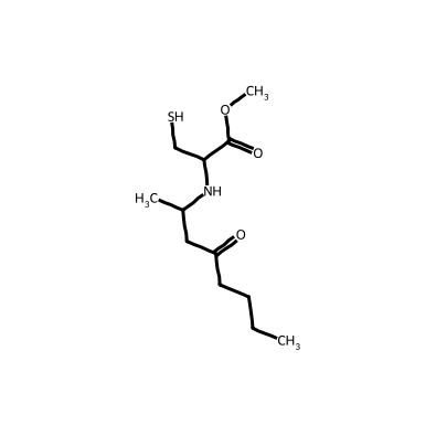 CCCCC(=O)CC(C)NC(CS)C(=O)OC